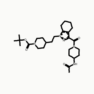 CC(=O)NC1CCN(C(=O)c2nn(CCC3CCN(C(=O)OC(C)(C)C)CC3)c3c2CCCC3)CC1